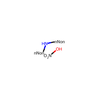 CCCCCCCCCNCCCCCCCCC.O=[N+]([O-])O